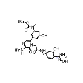 CC(C)Nc1ncc(-c2cc(O)cc(N(C)C(=O)OC(C)(C)C)c2)n(CC(=O)NCc2ccc(/C(N)=N/O)c(O)c2)c1=O